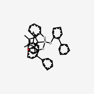 CC1=C(C)C(C)(C)[C]([Ti]([O]c2ccccc2-c2ccccc2)([O]c2ccccc2-c2ccccc2)[O]c2ccccc2-c2ccccc2)=C1C